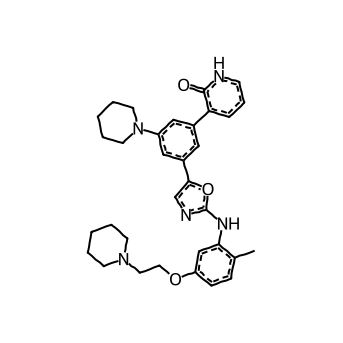 Cc1ccc(OCCN2CCCCC2)cc1Nc1ncc(-c2cc(-c3ccc[nH]c3=O)cc(N3CCCCC3)c2)o1